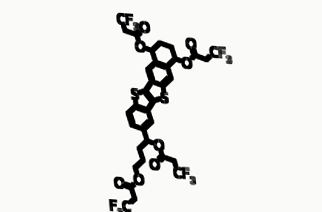 O=C(CC(F)(F)F)OCCCC(OC(=O)CC(F)(F)F)c1ccc2sc3c4cc5c(cc4sc3c2c1)C(OC(=O)CC(F)(F)F)CCC5OC(=O)CC(F)(F)F